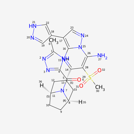 Cc1nnc(C(=O)N2[C@@H]3CC[C@H]2C[C@H](c2nc4c(-c5cn[nH]c5)cnn4c(N)c2S(C)(=O)=O)C3)[nH]1